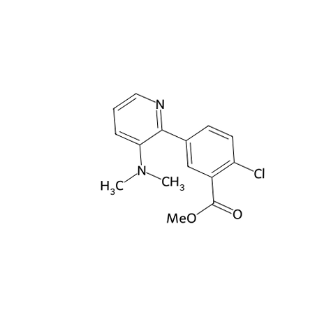 COC(=O)c1cc(-c2ncccc2N(C)C)ccc1Cl